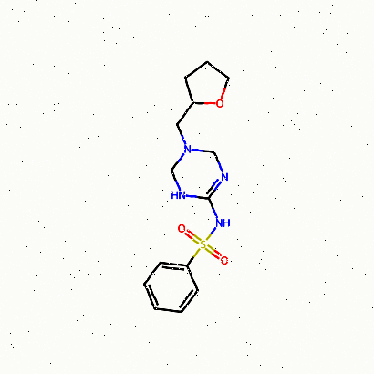 O=S(=O)(NC1=NCN(CC2CCCO2)CN1)c1ccccc1